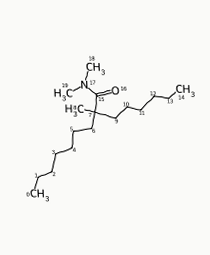 CCCCCCCC(C)(CCCCCC)C(=O)N(C)C